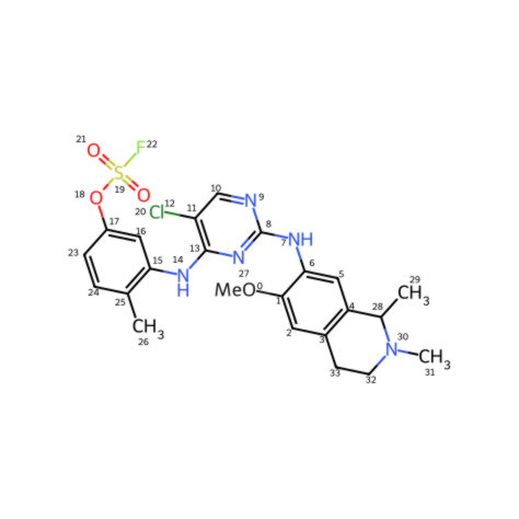 COc1cc2c(cc1Nc1ncc(Cl)c(Nc3cc(OS(=O)(=O)F)ccc3C)n1)C(C)N(C)CC2